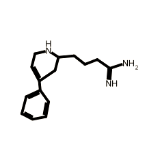 N=C(N)CCCC1CC(c2ccccc2)=CCN1